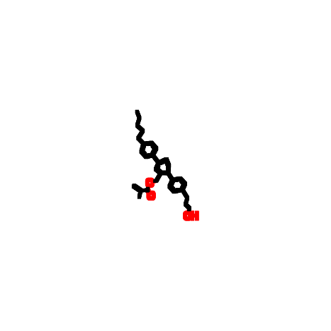 C=C(C)C(=O)OCc1cc(-c2ccc(CCCCC)cc2)ccc1-c1ccc(CCCO)cc1